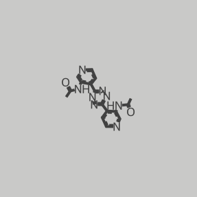 CC(=O)Nc1cnccc1-c1nnc(-c2ccncc2NC(C)=O)nn1